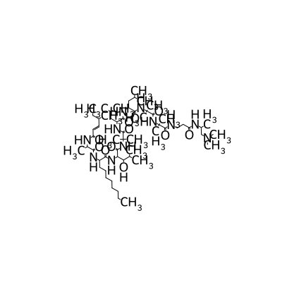 CCCCCCCCC(NC(=O)C(C)NC(=O)/C=C/C(C)CC)C(=O)NC(C(=O)NC(C)(C)C(=O)NC(CC(C)C)C(=O)NC(CC(C)C)C(=O)NC(C)(C)C(=O)NC(C)(C)C(=O)NCCC(=O)NC(C)CN(C)C)C(O)C(C)C